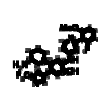 COc1cccc(F)c1-c1nccc(Nc2cc(N3CCC[C@H](N)C3)c(-c3cnn(C(F)(F)F)c3)cn2)n1.Cl